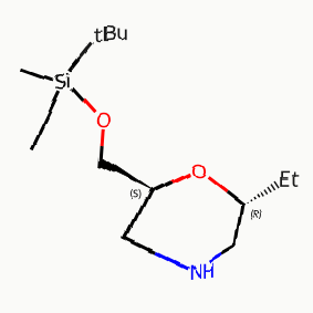 CC[C@@H]1CNC[C@@H](CO[Si](C)(C)C(C)(C)C)O1